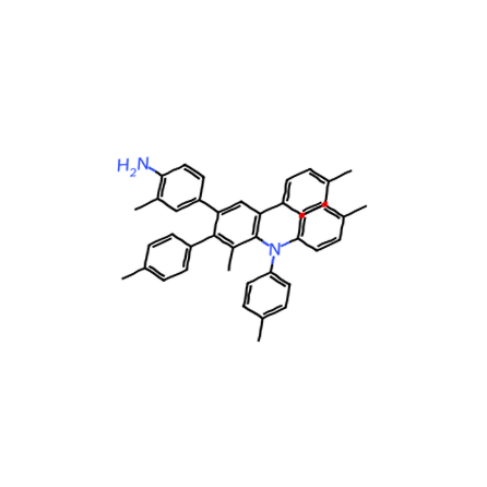 Cc1ccc(-c2cc(-c3ccc(N)c(C)c3)c(-c3ccc(C)cc3)c(C)c2N(c2ccc(C)cc2)c2ccc(C)cc2)cc1